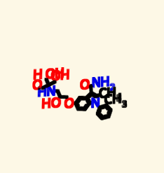 Cc1ccccc1-n1c(C)c(C(N)=O)c2cc(OCC(O)CNC(CO)(CO)CO)ccc21